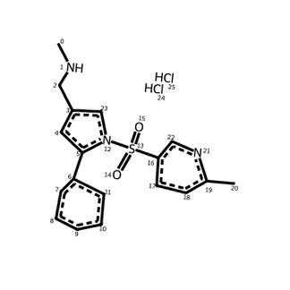 CNCc1cc(-c2ccccc2)n(S(=O)(=O)c2ccc(C)nc2)c1.Cl.Cl